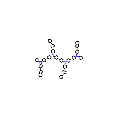 c1ccc(-c2ccc(-c3ccc(N(c4ccc(-c5ccc(N(c6ccc(-c7ccc(N(c8ccccc8)c8ccc(-c9cc%10ccccc%10s9)cc8)cc7)cc6)c6ccc(-c7ccc(-c8ccccc8)s7)cc6)cc5)cc4)c4ccc(-c5ccc(N(c6ccccc6)c6ccc(-c7cc8ccccc8s7)cc6)cc5)cc4)cc3)s2)cc1